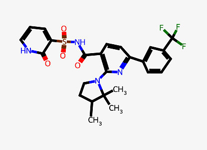 CC1CCN(c2nc(-c3cccc(C(F)(F)F)c3)ccc2C(=O)NS(=O)(=O)c2ccc[nH]c2=O)C1(C)C